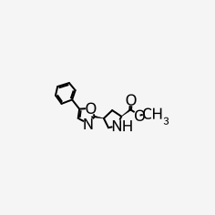 COC(=O)[C@@H]1C[C@H](c2ncc(-c3ccccc3)o2)CN1